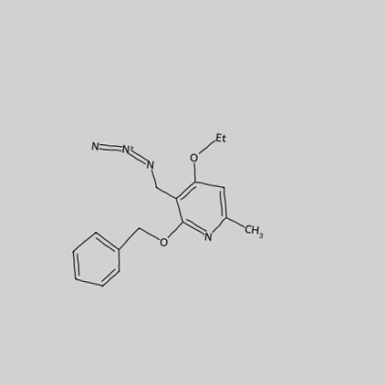 CCOc1cc(C)nc(OCc2ccccc2)c1CN=[N+]=[N-]